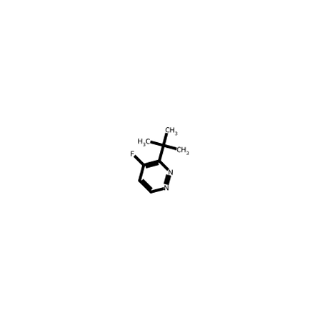 CC(C)(C)c1nnccc1F